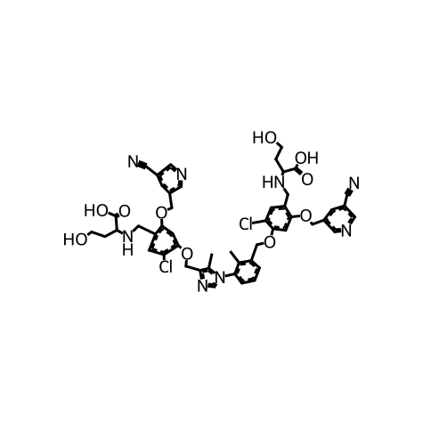 Cc1c(COc2cc(OCc3cncc(C#N)c3)c(CNC(CCO)C(=O)O)cc2Cl)cccc1-n1cnc(COc2cc(OCc3cncc(C#N)c3)c(CNC(CCO)C(=O)O)cc2Cl)c1C